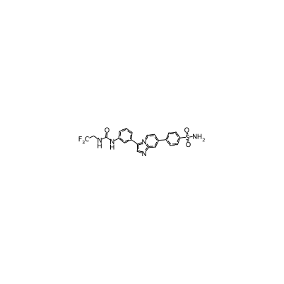 NS(=O)(=O)c1ccc(-c2ccn3c(-c4cccc(NC(=O)NCC(F)(F)F)c4)cnc3c2)cc1